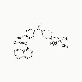 CC(C)(C)CC1(O)CCN(C(=O)c2ccc(NS(=O)(=O)c3cccc4cccnc34)cc2)CC1